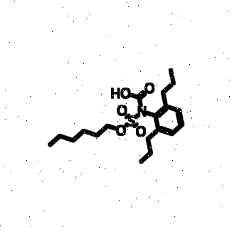 CCCCCCOS(=O)(=O)N(C(=O)O)c1c(CCC)cccc1CCC